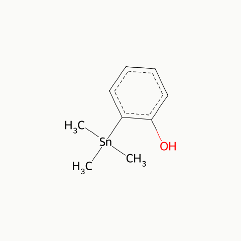 [CH3][Sn]([CH3])([CH3])[c]1ccccc1O